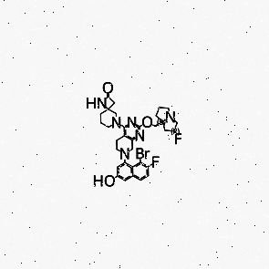 O=C1CC2(CCCN(c3nc(OC[C@@]45CCCN4C[C@H](F)C5)nc4c3CCN(c3cc(O)cc5ccc(F)c(Br)c35)C4)C2)N1